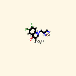 O=C(O)c1cn(Cc2cnsn2)c2cc(F)c(F)cc2c1=O